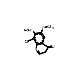 CC(=O)Nc1c(OC(F)(F)F)cc2c(c1Cl)N=CCC2=O